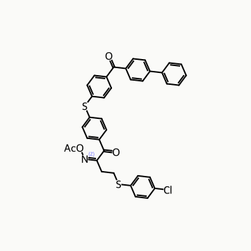 CC(=O)O/N=C(/CCSc1ccc(Cl)cc1)C(=O)c1ccc(Sc2ccc(C(=O)c3ccc(-c4ccccc4)cc3)cc2)cc1